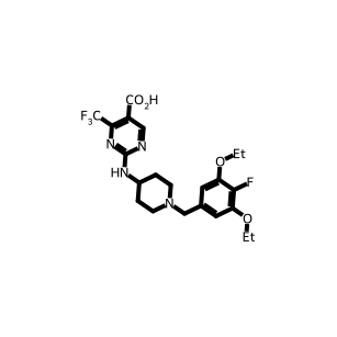 CCOc1cc(CN2CCC(Nc3ncc(C(=O)O)c(C(F)(F)F)n3)CC2)cc(OCC)c1F